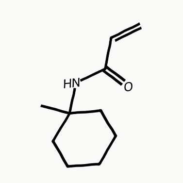 C=CC(=O)NC1(C)CCCCC1